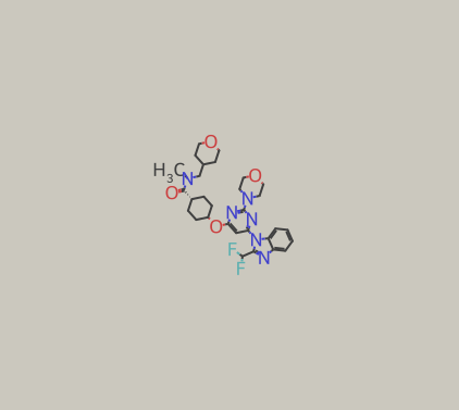 CN(CC1CCOCC1)C(=O)[C@H]1CC[C@H](Oc2cc(-n3c(C(F)F)nc4ccccc43)nc(N3CCOCC3)n2)CC1